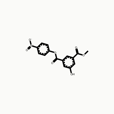 COC(=O)c1cc(O)cc(C(=O)Oc2ccc([N+](=O)[O-])cc2)c1